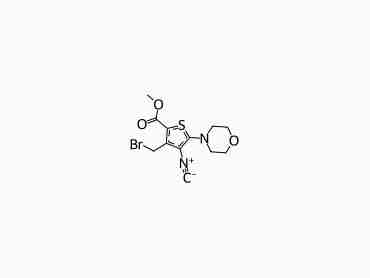 [C-]#[N+]c1c(N2CCOCC2)sc(C(=O)OC)c1CBr